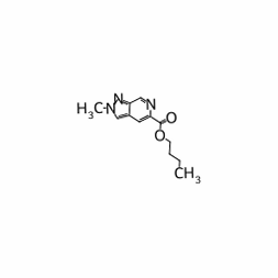 CCCCOC(=O)c1cc2cn(C)nc2cn1